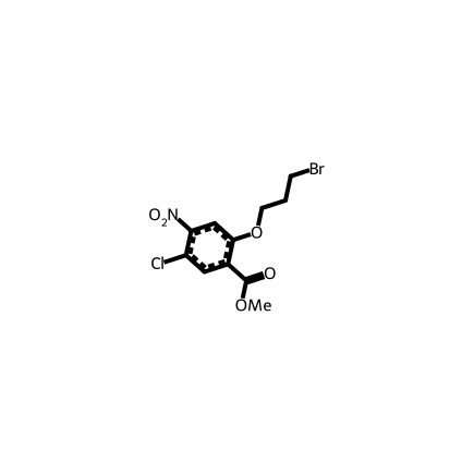 COC(=O)c1cc(Cl)c([N+](=O)[O-])cc1OCCCBr